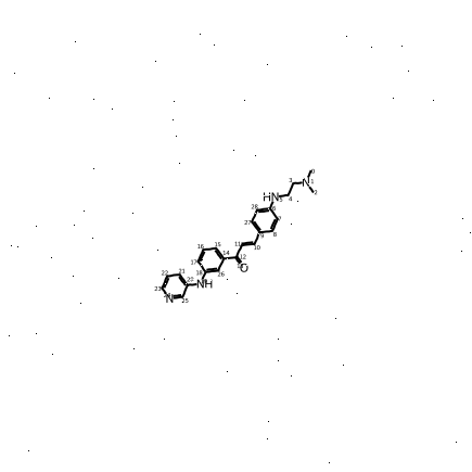 CN(C)CCNc1ccc(C=CC(=O)c2cccc(Nc3cccnc3)c2)cc1